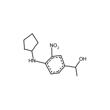 CC(O)c1ccc(NC2CCCC2)c([N+](=O)[O-])c1